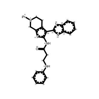 CC(C)N1CCc2c(sc(NC(=O)CCNc3ccccc3)c2-c2nc3ccccc3s2)C1